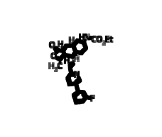 CCOC(=O)N[C@H]1CC[C@H]2[C@H](C1)C[C@@H]1C(=O)O[C@@H](C)[C@H]1[C@H]2/C=C/c1ccc(-c2cccc(F)c2)cn1